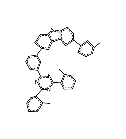 Cc1cccc(-c2ccc3sc4ccc(-c5cccc(-c6nc(-c7ccccc7C)nc(-c7ccccc7C)n6)c5)cc4c3c2)c1